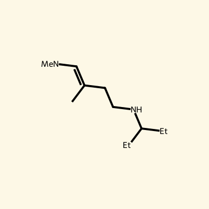 CCC(CC)NCC/C(C)=C/NC